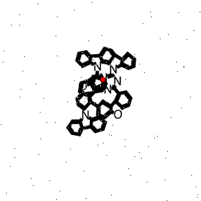 c1ccc(-c2nc(-c3cccc4oc5ccc(-c6c(-n7c8ccccc8c8ccccc87)ccc7oc8ccccc8c67)cc5c34)nc(-n3c4ccccc4c4ccc5c6ccccc6n(-c6ccccc6)c5c43)n2)cc1